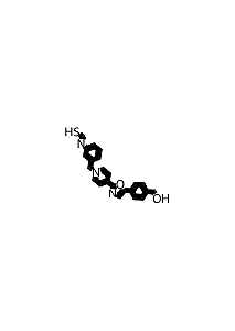 OCc1ccc(-c2cnc(-c3cc[n+](Cc4cccc(N=CS)c4)cc3)o2)cc1